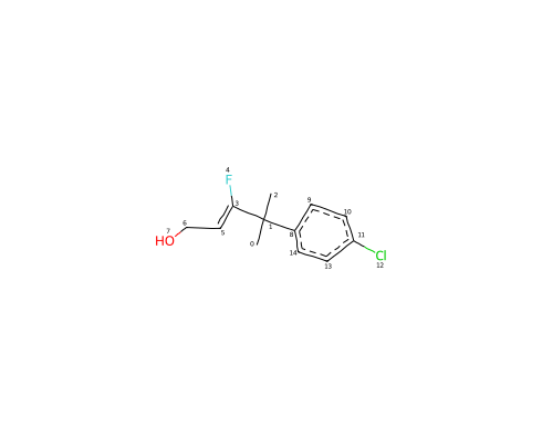 CC(C)(/C(F)=C/CO)c1ccc(Cl)cc1